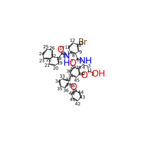 O=C(O)CC(NC(=O)c1cc(Br)ccc1NC(=O)c1cccc2ccccc12)c1ccc(-c2ccccc2Oc2ccccc2)cc1